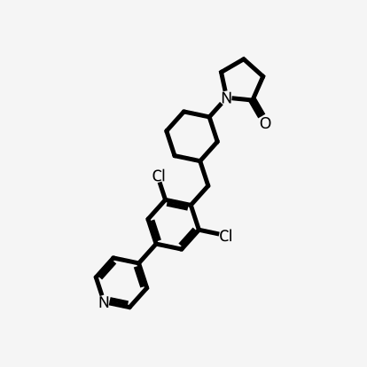 O=C1CCCN1C1CCCC(Cc2c(Cl)cc(-c3ccncc3)cc2Cl)C1